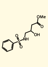 COC(=O)CC(O)CNS(=O)(=O)c1ccccc1